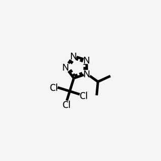 CC(C)n1nnnc1C(Cl)(Cl)Cl